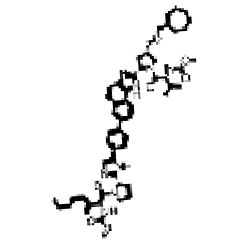 C=C(/C=C\C=C/C)[C@@H](NC(=O)OC)C(=O)N1CCC[C@H]1c1ncc(-c2ccc(-c3ccc4c(ccc5nc([C@@H]6C[C@H](COCC7CCCCCC7)CN6C(=O)[C@@H](NC(=O)OC)C(C)C)[nH]c54)c3)cc2)[nH]1